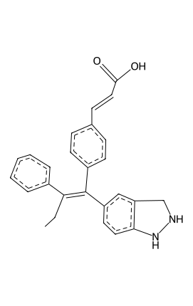 CC/C(=C(/c1ccc(/C=C/C(=O)O)cc1)c1ccc2c(c1)CNN2)c1ccccc1